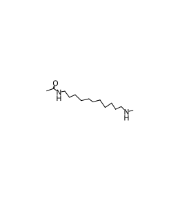 CNCCCCCCCCCCCNC(C)=O